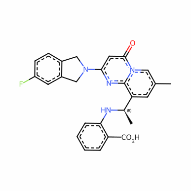 Cc1cc([C@@H](C)Nc2ccccc2C(=O)O)c2nc(N3Cc4ccc(F)cc4C3)cc(=O)n2c1